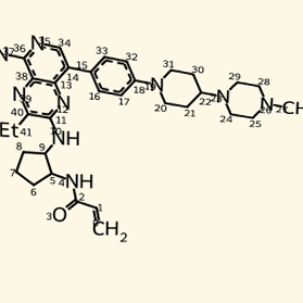 C=CC(=O)NC1CCCC1Nc1nc2c(-c3ccc(N4CCC(N5CCN(C)CC5)CC4)cc3)cnc(N)c2nc1CC